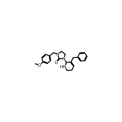 COc1ccc(CN2CCN(C3NCCC=C3Cc3ccccc3)C2=O)cc1